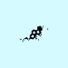 CCOC1C=C2C=CC3=C(CCC45C(=O)CC[C@]4(C)CC=C35)C2(C)CC1